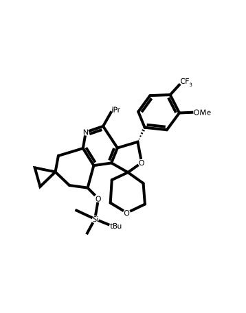 COc1cc([C@@H]2OC3(CCOCC3)c3c4c(nc(C(C)C)c32)CC2(CC2)CC4O[Si](C)(C)C(C)(C)C)ccc1C(F)(F)F